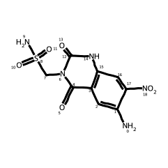 Nc1cc2c(=O)n(CS(N)(=O)=O)c(=O)[nH]c2cc1[N+](=O)[O-]